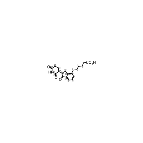 O=C(O)CCCCCc1cccc2c1CN(C1CCC(=O)NC1=O)C2=O